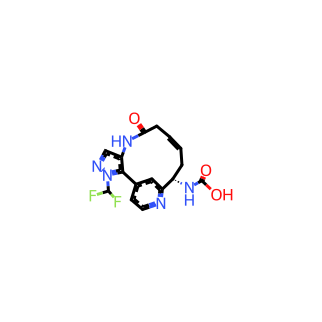 O=C(O)N[C@H]1CC=CCC(=O)Nc2cnn(C(F)F)c2-c2ccnc1c2